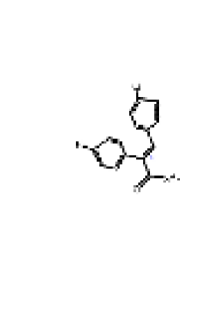 NC(=O)/C(=C/c1ccc(Cl)cc1)c1ccc(F)cc1